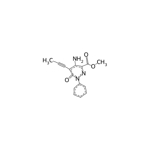 CC#Cc1c(N)c(C(=O)OC)nn(-c2ccccc2)c1=O